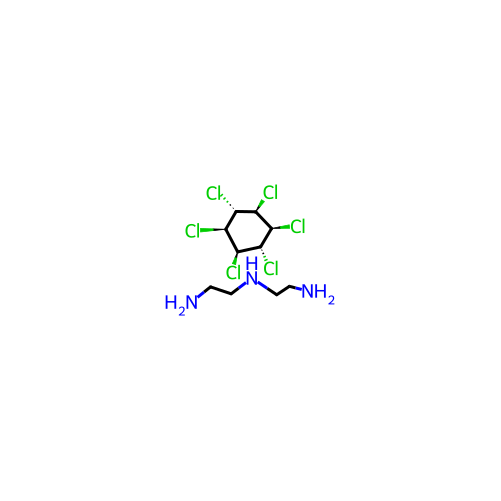 Cl[C@H]1[C@H](Cl)[C@@H](Cl)[C@@H](Cl)[C@H](Cl)[C@H]1Cl.NCCNCCN